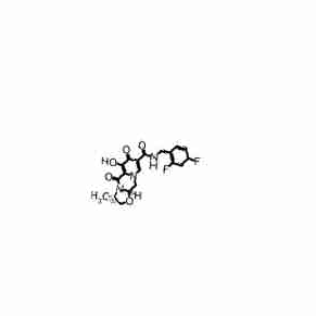 C[C@H]1CO[C@@H]2Cn3cc(C(=O)NCC4=C(F)CC(F)C=C4)c(=O)c(O)c3C(=O)N12